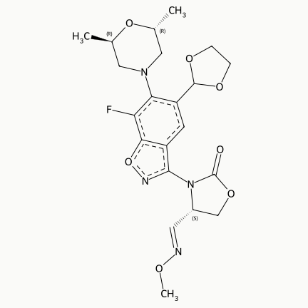 CON=C[C@H]1COC(=O)N1c1noc2c(F)c(N3C[C@@H](C)O[C@H](C)C3)c(C3OCCO3)cc12